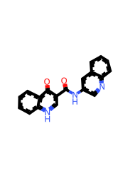 O=C(Nc1cnc2ccccc2c1)c1c[nH]c2ccccc2c1=O